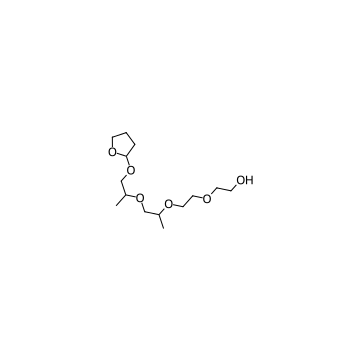 CC(COC(C)COC1CCCO1)OCCOCCO